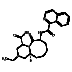 CCN1C[C@@H]2CCCC[C@H](NC(=O)c3nccc4ccccc34)C(=O)N2[C@H](C(=O)O)C1